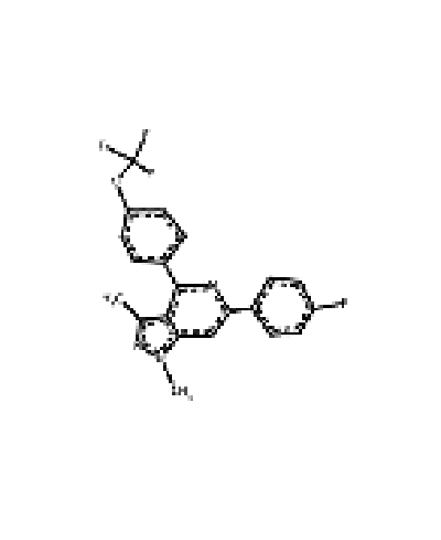 Cc1nn(C)c2cc(-c3ccc(F)cc3)nc(-c3ccc(OC(F)(F)F)cc3)c12